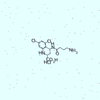 Cl.NCCCC(=O)NC1CC(C(=O)O)Nc2cc(Cl)cc(Cl)c21